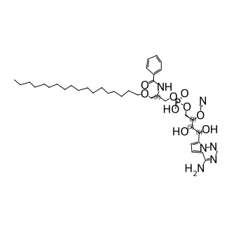 CCCCCCCCCCCCCCCCCCOC[C@H](COP(=O)(O)OC[C@@H](OC#N)[C@@H](O)[C@@H](O)c1ccc2c(N)ncnn12)NC(=O)c1ccccc1